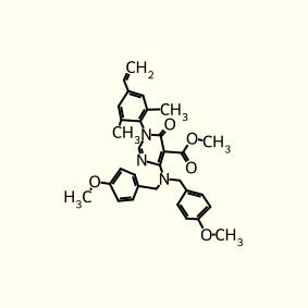 C=Cc1cc(C)c(-n2cnc(N(Cc3ccc(OC)cc3)Cc3ccc(OC)cc3)c(C(=O)OC)c2=O)c(C)c1